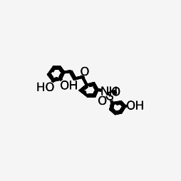 O=C(C=Cc1cccc(O)c1O)c1cccc(NS(=O)(=O)c2cccc(O)c2)c1